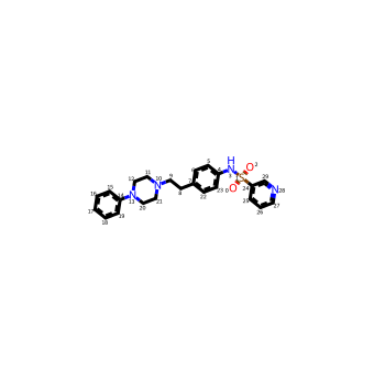 O=S(=O)(Nc1ccc(CCN2CCN(c3ccccc3)CC2)cc1)c1cccnc1